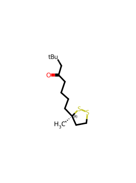 CC(C)(C)CC(=O)CCCC[C@]1(C)CCSS1